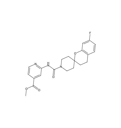 COC(=O)c1ccnc(NC(=O)N2CCC3(CCc4ccc(F)cc4O3)CC2)c1